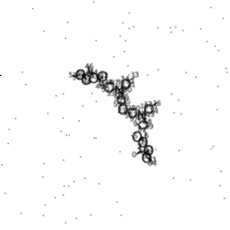 C=C(COC(=O)Cc1ccc(N(c2ccc(C)cc2)c2ccc(Oc3ccc(N(c4ccc(C)cc4)c4ccc(CC(=O)OCC(=C)C(=O)OCC)cc4)cc3)cc2)cc1)C(=O)OCC